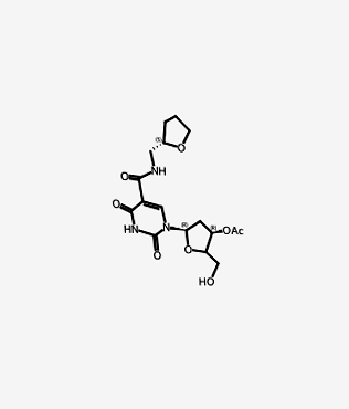 CC(=O)O[C@@H]1C[C@H](n2cc(C(=O)NC[C@@H]3CCCO3)c(=O)[nH]c2=O)OC1CO